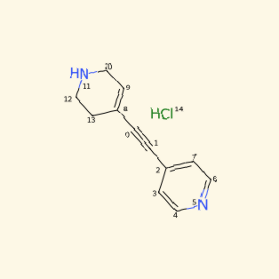 C(#Cc1ccncc1)C1=CCNCC1.Cl